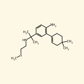 CSCCNC(C)(C)c1ccc(N)c(C2=CCC(C)(C)CC2)c1